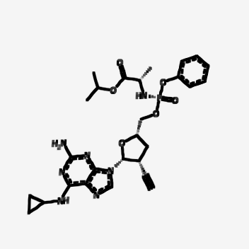 C#C[C@H]1C[C@@H](CO[P@@](=O)(N[C@@H](C)C(=O)OC(C)C)Oc2ccccc2)O[C@H]1n1cnc2c(NC3CC3)nc(N)nc21